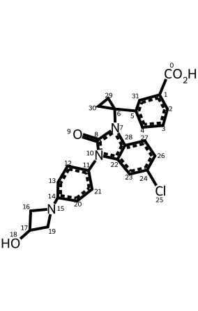 O=C(O)c1cccc(C2(n3c(=O)n(-c4ccc(N5CC(O)C5)cc4)c4cc(Cl)ccc43)CC2)c1